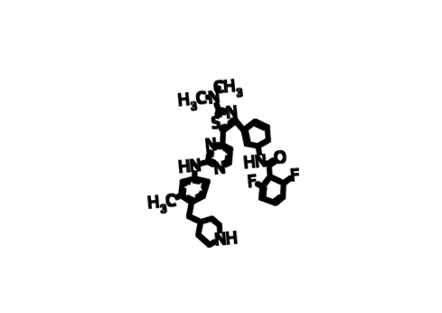 Cc1cc(Nc2nccc(-c3sc(N(C)C)nc3C3=CC(NC(=O)C4C(F)=CC=CC4F)CC=C3)n2)ccc1CC1CCNCC1